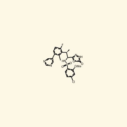 COc1cc(Cl)ccc1S(=O)(=O)N[C@H](c1n[nH]c(=O)o1)[C@H](C)c1c(F)ccc(-c2cncnc2)c1C